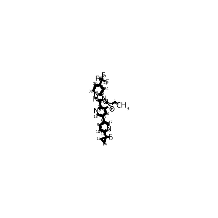 CCS(=O)(=O)c1cc(-c2ccc(C3(F)CC3)nc2)cnc1-c1nc2cc(C(F)(F)F)ccn2n1